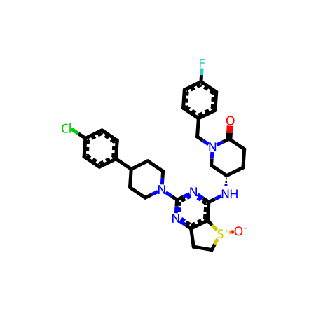 O=C1CC[C@H](Nc2nc(N3CCC(c4ccc(Cl)cc4)CC3)nc3c2[S+]([O-])CC3)CN1Cc1ccc(F)cc1